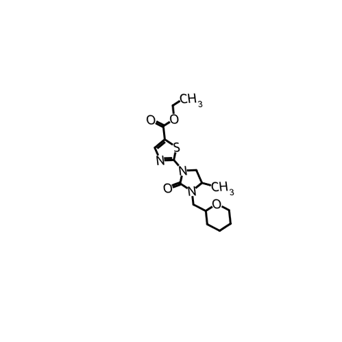 CCOC(=O)c1cnc(N2CC(C)N(CC3CCCCO3)C2=O)s1